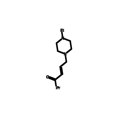 CCN1CCN(C/C=C/C(=O)C(C)C)CC1